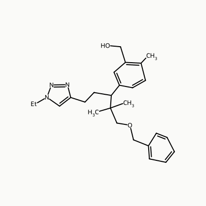 CCn1cc(CCC(c2ccc(C)c(CO)c2)C(C)(C)COCc2ccccc2)nn1